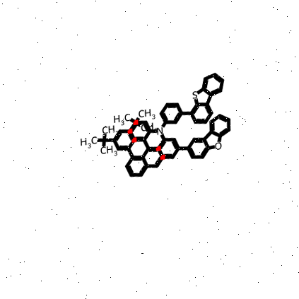 CC(C)(C)c1cc(-c2cccc3cccc(-c4ccccc4N(c4cccc(-c5ccc6oc7ccccc7c6c5)c4)c4cccc(-c5cccc6c5sc5ccccc56)c4)c23)cc(C(C)(C)C)c1